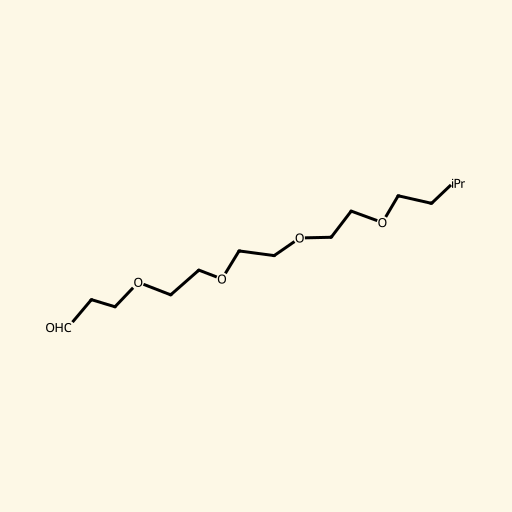 CC(C)CCOCCOCCOCCOCCC=O